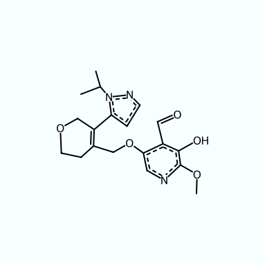 COc1ncc(OCC2=C(c3ccnn3C(C)C)COCC2)c(C=O)c1O